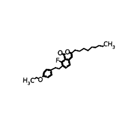 CCCCCCCCCc1cc2ccc(CCc3ccc(OCC)cc3)c(F)c2c(=O)o1